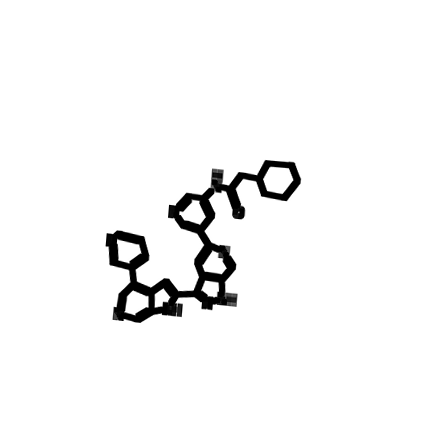 O=C(CC1CCCCC1)Nc1cncc(-c2cc3c(-c4cc5c(-c6cccnc6)cncc5[nH]4)n[nH]c3cn2)c1